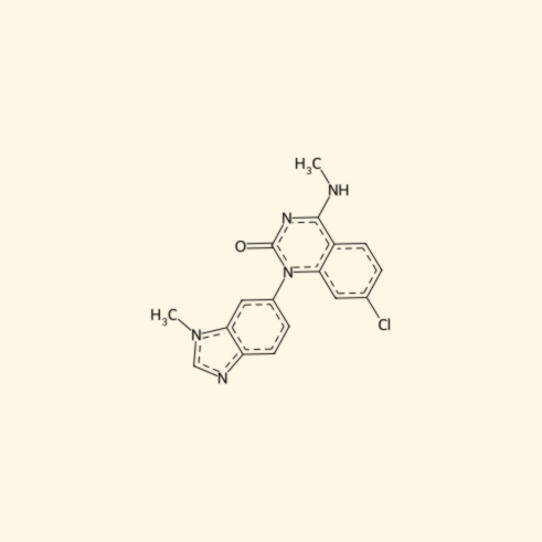 CNc1nc(=O)n(-c2ccc3ncn(C)c3c2)c2cc(Cl)ccc12